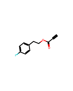 C#CC(=O)OCCc1ccc(F)cc1